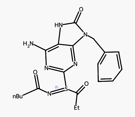 CCCCC(=O)/N=S(/C(=O)CC)c1nc(N)c2[nH]c(=O)n(Cc3ccccc3)c2n1